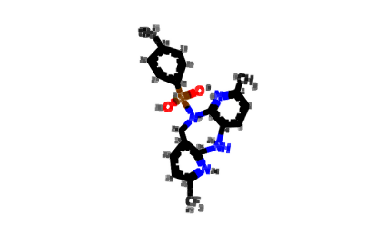 Cc1ccc2c(n1)N(S(=O)(=O)c1ccc(C(C)(C)C)cc1)Cc1ccc(C(F)(F)F)nc1N2